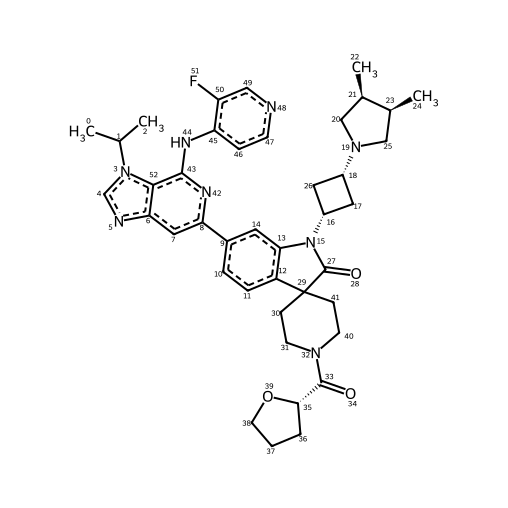 CC(C)n1cnc2cc(-c3ccc4c(c3)N([C@H]3C[C@@H](N5C[C@@H](C)[C@@H](C)C5)C3)C(=O)C43CCN(C(=O)[C@@H]4CCCO4)CC3)nc(Nc3ccncc3F)c21